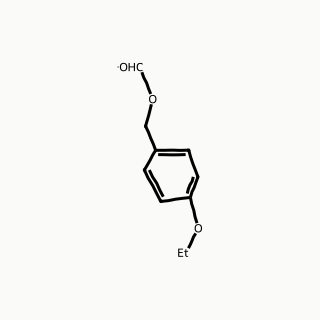 CCOc1ccc(CO[C]=O)cc1